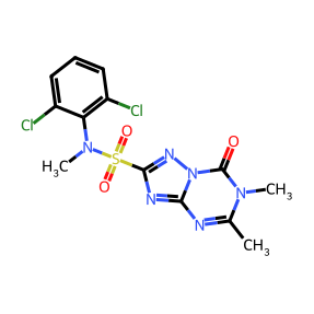 Cc1nc2nc(S(=O)(=O)N(C)c3c(Cl)cccc3Cl)nn2c(=O)n1C